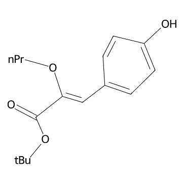 CCCOC(=Cc1ccc(O)cc1)C(=O)OC(C)(C)C